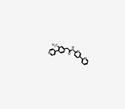 Cc1cc(CC(=O)Nc2ccc(-c3ccccn3)cn2)ccc1-c1ccncc1